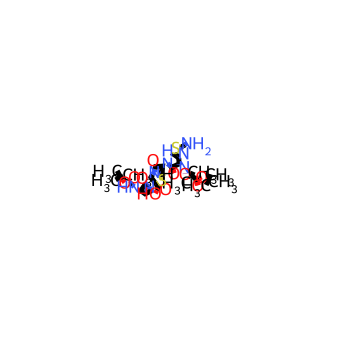 CC(C)(C)OC(=O)N[C@@H]1CCN([C@]2(C(=O)O)CN3C(=O)[C@@H](NC(=O)/C(=N\OC(C)(C)C(=O)OC(C)(C)C)c4csc(N)n4)[C@H]3S2)C1=O